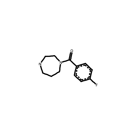 O=C(c1ccc(F)cc1)N1CCC[N]CC1